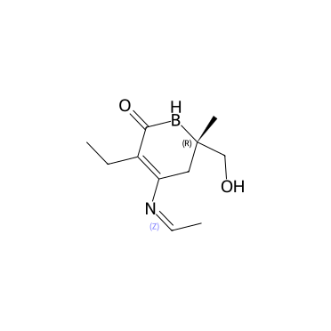 C/C=N\C1=C(CC)C(=O)B[C@](C)(CO)C1